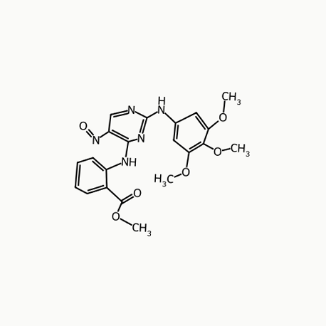 COC(=O)c1ccccc1Nc1nc(Nc2cc(OC)c(OC)c(OC)c2)ncc1N=O